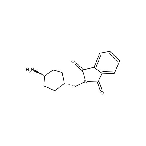 N[C@H]1CC[C@H](CN2C(=O)c3ccccc3C2=O)CC1